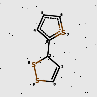 C1=CC(c2cccs2)SS1